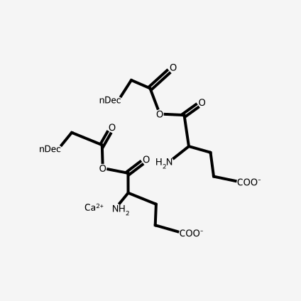 CCCCCCCCCCCC(=O)OC(=O)C(N)CCC(=O)[O-].CCCCCCCCCCCC(=O)OC(=O)C(N)CCC(=O)[O-].[Ca+2]